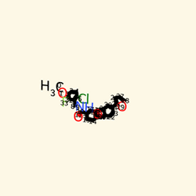 COc1ccc(Cl)c(CNC(=O)c2ccc3c(c2)c2oc3c3ccc(-c4ccco4)cc32)c1F